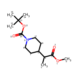 COC(=O)C(C)C1CCN(C(=O)OC(C)(C)C)CC1